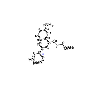 CN/C=C(\C=N)c1cc(OCCOC)c2cc(N)ccc2n1